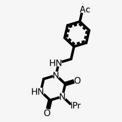 CC(=O)c1ccc(CNN2CNC(=O)N(C(C)C)C2=O)cc1